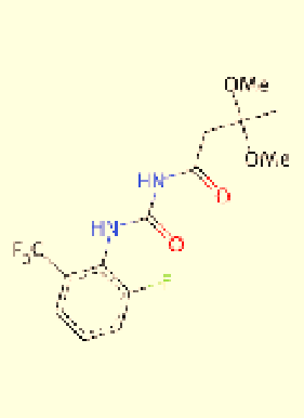 COC(C)(CC(=O)NC(=O)Nc1c(F)cccc1C(F)(F)F)OC